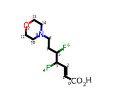 O=C(O)C=CC(F)C(F)CCN1CCOCC1